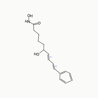 O=C(CCCCC(O)/C=C/C=C/c1ccccc1)NO